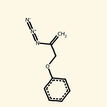 C=C(COc1ccccc1)N=[N+]=[N-]